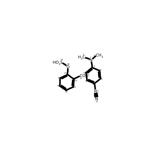 CN(C)c1ccc([N+]#N)cc1.O=C([O-])c1ccccc1OS(=O)(=O)O